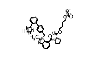 Cc1nc2cccc(C(=O)N3CCC[C@H]3C(=O)OCCCCO[N+](=O)[O-])c2n1Cc1ccc(-c2ccccc2-c2nn[nH]n2)cc1